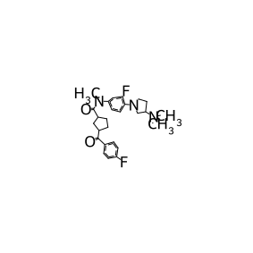 CN(C(=O)C1CCC(C(=O)c2ccc(F)cc2)C1)c1ccc(N2CCC(N(C)C)C2)c(F)c1